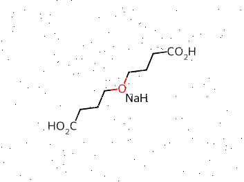 O=C(O)CCCOCCCC(=O)O.[NaH]